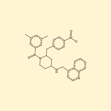 Cc1cc(C)cc(C(=O)N2CCC(NCc3ccnc4ccccc34)CC2Cc2ccc([N+](=O)[O-])cc2)c1